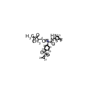 CN(C)C(=O)CCO/N=C(/C(=O)Nc1ncc(F)s1)c1ccc(S(=O)(=O)C2CC2)cc1